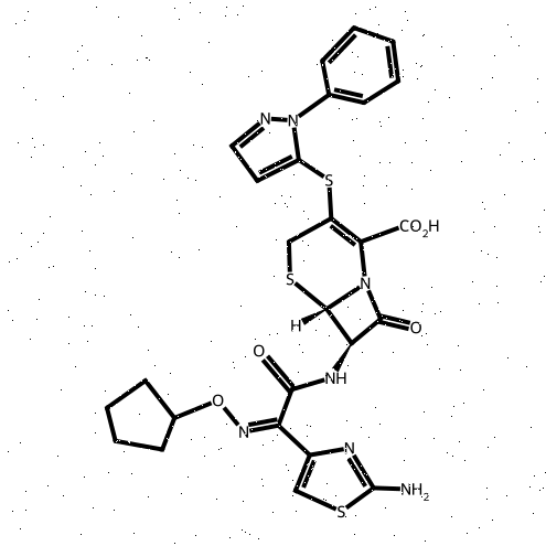 Nc1nc(/C(=N/OC2CCCC2)C(=O)N[C@@H]2C(=O)N3C(C(=O)O)=C(Sc4ccnn4-c4ccccc4)CS[C@@H]23)cs1